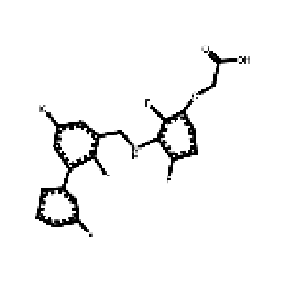 O=C(O)COc1ccc(F)c(NCc2cc(O)cc(-c3cccc(F)c3)c2F)c1F